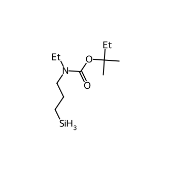 CCN(CCC[SiH3])C(=O)OC(C)(C)CC